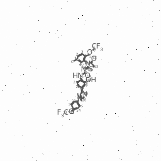 Cc1ccc(COCC(F)(F)F)c(N2C(=O)CS/C2=N\C(=O)Nc2ccc(-c3ncn(-c4ccc(OC(F)(F)F)cc4)n3)cc2O)c1